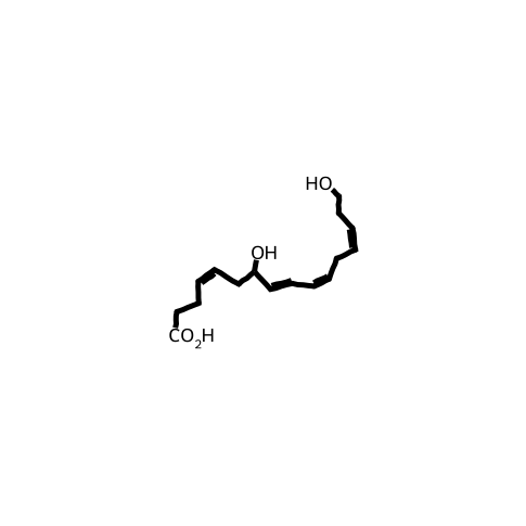 O=C(O)CC/C=C\CC(O)/C=C/C=C\C/C=C\CCO